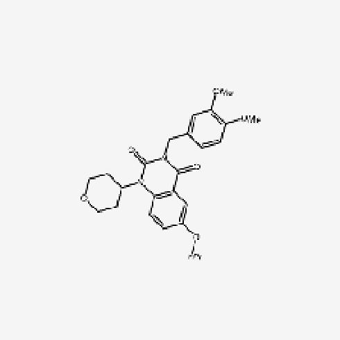 CCCOc1ccc2c(c1)c(=O)n(Cc1ccc(OC)c(OC)c1)c(=O)n2C1CCOCC1